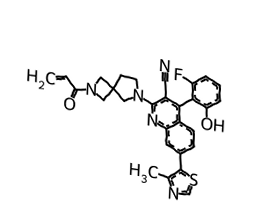 C=CC(=O)N1CC2(CCN(c3nc4cc(-c5scnc5C)ccc4c(-c4c(O)cccc4F)c3C#N)C2)C1